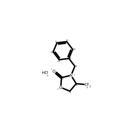 Cl.O=C1OCC(C(F)(F)F)N1Cc1ccccc1